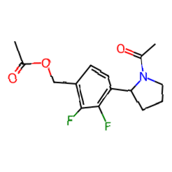 CC(=O)OCc1ccc(C2CCCN2C(C)=O)c(F)c1F